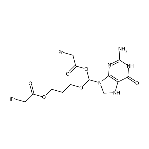 CC(C)CC(=O)OCCCOC(OC(=O)CC(C)C)N1CNc2c1nc(N)[nH]c2=O